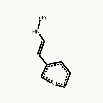 CCCNC=Cc1ccccc1